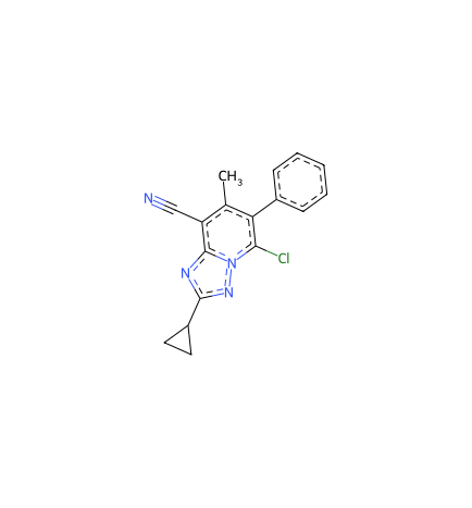 Cc1c(-c2ccccc2)c(Cl)n2nc(C3CC3)nc2c1C#N